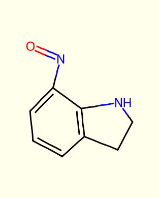 O=Nc1cccc2c1NCC2